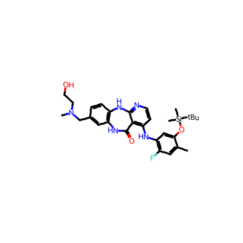 Cc1cc(F)c(Nc2ccnc3c2C(=O)Nc2cc(CN(C)CCO)ccc2N3)cc1O[Si](C)(C)C(C)(C)C